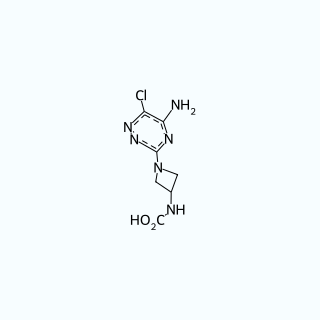 Nc1nc(N2CC(NC(=O)O)C2)nnc1Cl